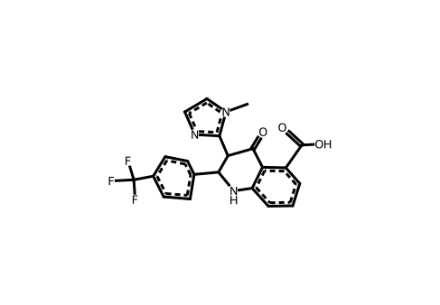 Cn1ccnc1C1C(=O)c2c(cccc2C(=O)O)NC1c1ccc(C(F)(F)F)cc1